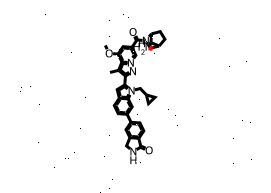 COc1cc(C(=O)N2CC3CCC2[C@@H]3N)cn2nc(-c3cc4ccc(-c5ccc6c(c5)CNC6=O)cc4n3CC3CC3)c(C)c12